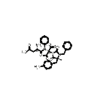 CC(=O)[C@@](C(=O)O)(N1C(=O)N(Cc2ccccc2)[C@](C)(Cc2ccc(N)cc2)C1=O)N(C(=O)[C@@H](N)CC(=O)O)c1ccccc1